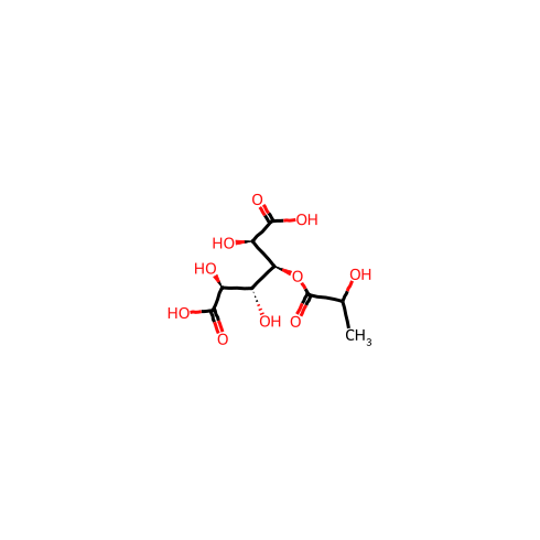 CC(O)C(=O)O[C@@H]([C@H](O)[C@H](O)C(=O)O)[C@@H](O)C(=O)O